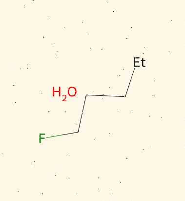 CCCCCF.O